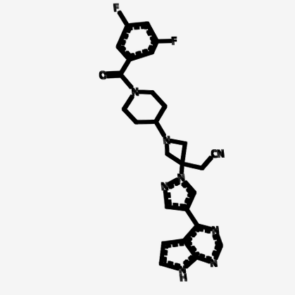 N#CCC1(n2cc(-c3ncnc4[nH]ccc34)cn2)CN(C2CCN(C(=O)c3cc(F)cc(F)c3)CC2)C1